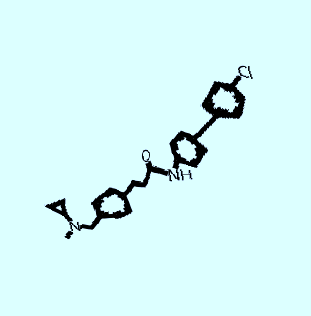 CN(Cc1ccc(CCC(=O)Nc2ccc(-c3ccc(Cl)cc3)cc2)cc1)C1CC1